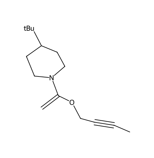 C=C(OCC#CC)N1CCC(C(C)(C)C)CC1